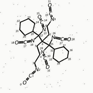 O=C=NCCCC(CCN=C=O)(C(N=C=O)(N=C=O)C1CCCCC1)C(N=C=O)(N=C=O)C1CCCCC1